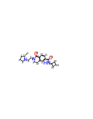 C[C@@H]1CCCN1CCN1CCc2cc(C(=O)NC3CCC3)ccc2C1=O